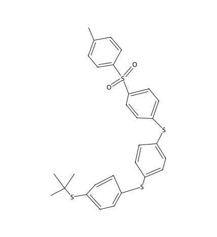 Cc1ccc(S(=O)(=O)c2ccc(Sc3ccc(Sc4ccc(SC(C)(C)C)cc4)cc3)cc2)cc1